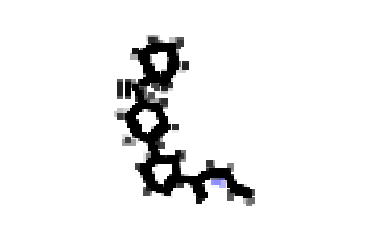 C=C/C=C\C(=C)C1=CC=CC(C2=CCC(Nc3ccccc3)C=C2)C1